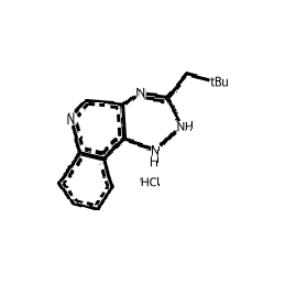 CC(C)(C)CC1=Nc2cnc3ccccc3c2NN1.Cl